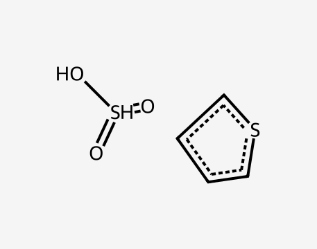 O=[SH](=O)O.c1ccsc1